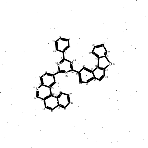 c1ccc(-c2nc(-c3ccc4ncc5ccc6ccccc6c5c4c3)nc(-c3ccc4ccc5oc6ccccc6c5c4c3)n2)cc1